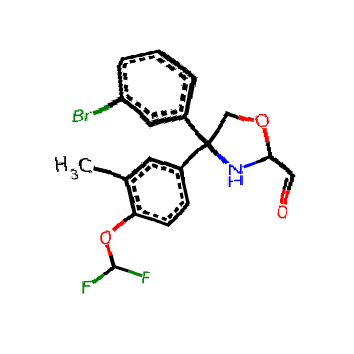 Cc1cc(C2(c3cccc(Br)c3)COC(C=O)N2)ccc1OC(F)F